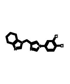 Clc1ccc(-n2cnc(Cn3cnc4c3CCCC4)c2)cc1Cl